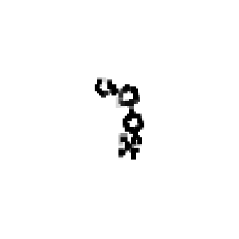 FC(F)(F)Oc1ccc(-c2cccc(N3CCCC3)n2)cc1